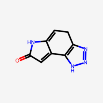 O=C1C=C2C(=CCc3nn[nH]c32)N1